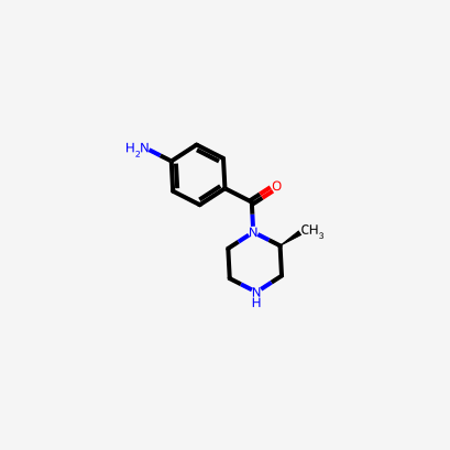 C[C@H]1CNCCN1C(=O)c1ccc(N)cc1